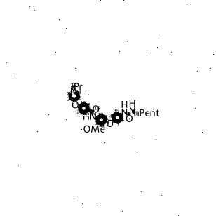 CCCCCNC(=O)Nc1ccc(Oc2ccc(NC(=O)c3ccc(OC4CCN(C(C)C)CC4)cc3)cc2OC)cc1